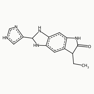 CCC1C(=O)Nc2cc3c(cc21)NC(c1c[nH]cn1)N3